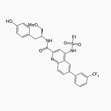 CCS(=O)(=O)Nc1cc(C(=O)N[C@H](COC)Cc2ccc(O)cc2)nc2ccc(-c3cccc(C(F)(F)F)c3)cc12